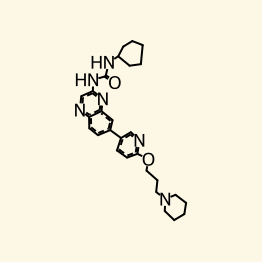 O=C(Nc1cnc2ccc(-c3ccc(OCCCN4CCCCC4)nc3)cc2n1)NC1CCCCC1